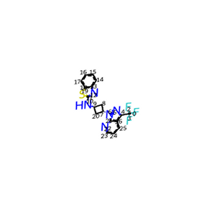 FC(F)(F)c1nn([C@H]2C[C@H](Nc3nc4ccccc4s3)C2)c2ncccc12